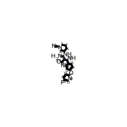 N#CN1CCCC(N/C(N)=C(\C(=N)c2ccc(Oc3ccc(F)cn3)cc2)C(N)=O)C1